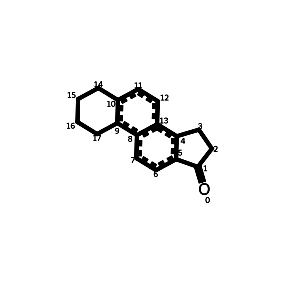 O=C1CCc2c1ccc1c3c(ccc21)CCCC3